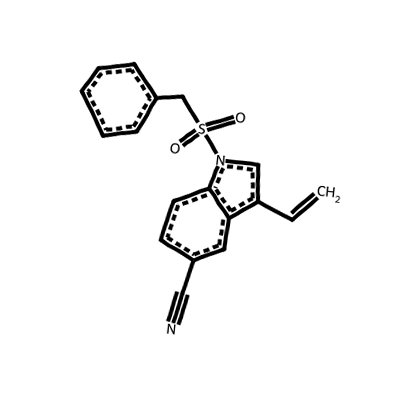 C=Cc1cn(S(=O)(=O)Cc2ccccc2)c2ccc(C#N)cc12